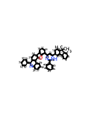 CC1(C)c2ccccc2-c2cc(C3=CC(c4cccc5c4oc4c5ccc5c(-c6ccccc6)nc6ccccc6c54)=NC(c4ccccc4)N3)ccc21